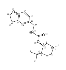 CC(C)[C@@H]1CC[C@@H](C)C[C@@H]1OC(=O)NCc1ccc2c(c1)OCO2